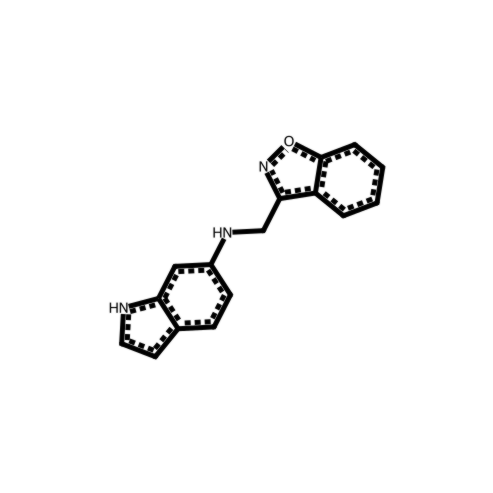 c1ccc2c(CNc3ccc4cc[nH]c4c3)noc2c1